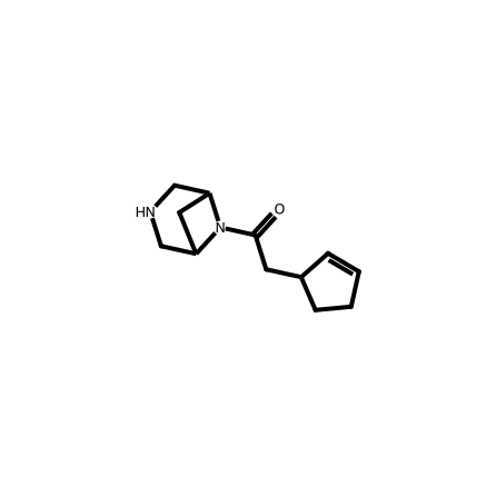 O=C(CC1C=CCC1)N1C2CNCC1C2